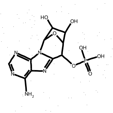 Nc1ncnc2c1nc1n2C2OC(C1OP(=O)(O)O)C(O)C2O